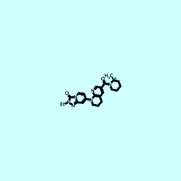 CCn1nc2cc(N3CCCc4cc(C(=O)N5CCCC[C@@H]5C)cnc43)ccn2c1=O